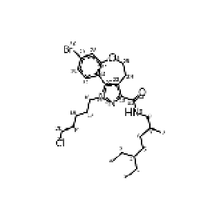 CCC(CC)CCC(C)CNC(=O)c1nn(CCCCCCl)c2c1CCOc1cc(Br)ccc1-2